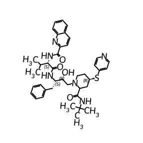 CC(C)[C@H](NC(=O)c1ccc2ccccc2n1)C(=O)N[C@@H](Cc1ccccc1)[C@H](O)CN1CC[C@@H](Sc2ccncc2)CC1C(=O)NC(C)(C)C